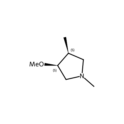 CO[C@@H]1CN(C)C[C@@H]1C